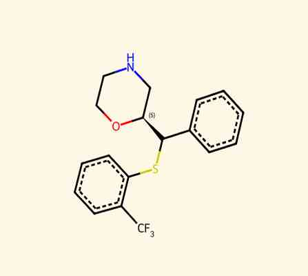 FC(F)(F)c1ccccc1SC(c1ccccc1)[C@@H]1CNCCO1